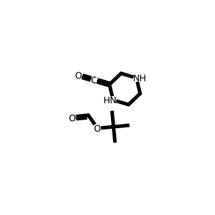 CC(C)(C)OC=O.O=C=C1CNCCN1